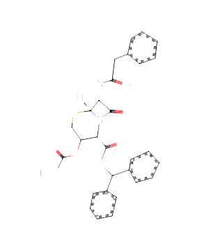 CC(=O)OC1CS[C@@H]2[C@H](NC(=O)Cc3ccccc3)C(=O)N2[C@H]1C(=O)OC(c1ccccc1)c1ccccc1